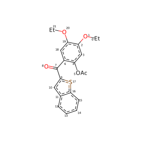 CCOc1cc(OC(C)=O)c(C(=O)c2cc3ccccc3s2)cc1OCC